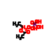 C=COC(C)=O.O.O=P(O)(O)O